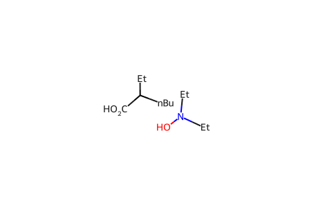 CCCCC(CC)C(=O)O.CCN(O)CC